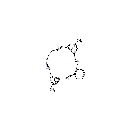 Cc1cc2c(O)c(c1)/C=N/c1ccccc1/N=C/c1cc(C)cc(c1O)/C=N/CCC/N=C/2